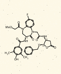 COCC(=O)N1C[C@H](NC(=O)c2cc(C)c(O)c(C)c2)C(=O)N(CC(=O)N[C@H]2CC(=O)O[C@H]2OCc2ccccc2)c2ccc(F)cc21